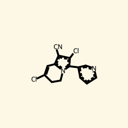 N#Cc1c(Cl)c(-c2cccnc2)n2c1C=C(Cl)CC2